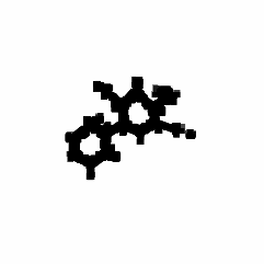 Fc1cc(-c2ncccn2)c(F)cc1Br